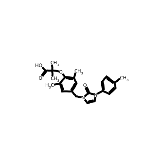 Cc1ccc(-n2ccn(Cc3cc(C)c(OC(C)(C)C(=O)O)c(C)c3)c2=O)cc1